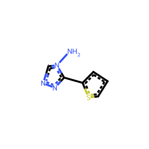 Nn1[c]nnc1-c1cccs1